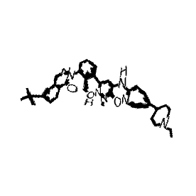 CCN1CCC(c2ccc(Nc3cc(-c4cccc(-n5ncc6cc(C(C)(C)C)ccc6c5=O)c4CO)nn(C)c3=O)nc2)CC1